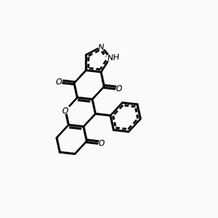 O=C1CCCC2=C1C(c1ccccc1)C1=C(O2)C(=O)c2cn[nH]c2C1=O